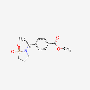 COC(=O)c1ccc([C@H](C)N2CCCS2(=O)=O)cc1